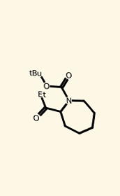 CCC(=O)C1CCCCCN1C(=O)OC(C)(C)C